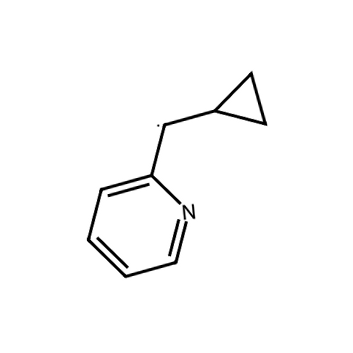 [CH](c1ccccn1)C1CC1